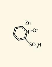 O=S(=O)(O)c1cccc[n+]1[O-].[Zn]